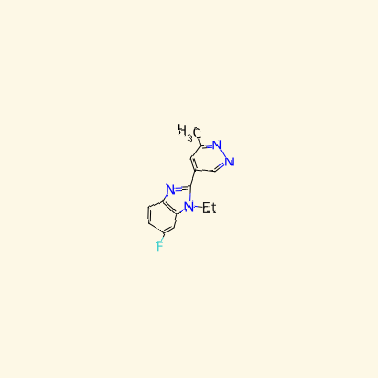 CCn1c(-c2cnnc(C)c2)nc2ccc(F)cc21